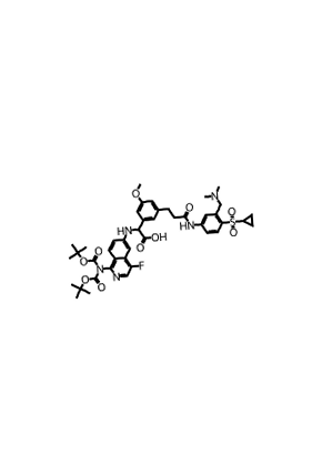 COc1cc(CCC(=O)Nc2ccc(S(=O)(=O)C3CC3)c(CN(C)C)c2)cc(C(Nc2ccc3c(N(C(=O)OC(C)(C)C)C(=O)OC(C)(C)C)ncc(F)c3c2)C(=O)O)c1